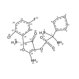 BC(B)(c1ccccc1)S(=O)(=O)OC1=C(N)O[C@@](B)(c2cc(F)ccc2Cl)C1=O